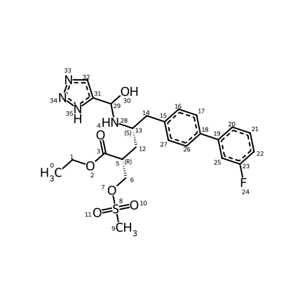 CCOC(=O)[C@@H](COS(C)(=O)=O)C[C@@H](Cc1ccc(-c2cccc(F)c2)cc1)NC(O)c1cnn[nH]1